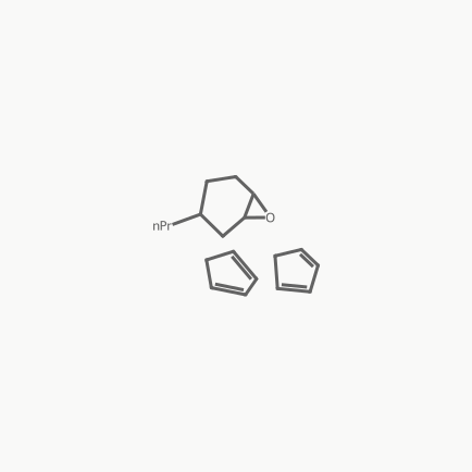 C1=CCC=C1.C1=CCC=C1.CCCC1CCC2OC2C1